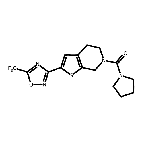 O=C(N1CCCC1)N1CCc2cc(-c3noc(C(F)(F)F)n3)sc2C1